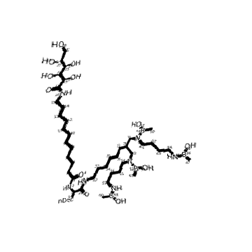 CCCCCCCCCCC(NC(=O)CCCCCCCCCCCNC(=O)[C@H](O)[C@@H](O)[C@H](O)[C@H](O)CO)C(=O)NCCCCCCC(CN(CCCCNB(C)O)B(C)O)CN(CCCCNB(C)O)B(C)O